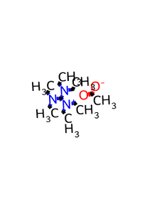 CC(=O)[O-].CCN(CC)C(N(CC)CC)=[N+](CC)CC